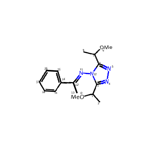 COC(C)c1nnc(C(C)OC)n1N=C(C)c1ccccc1